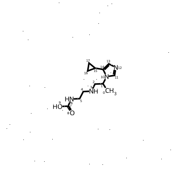 CC(CNCCNC(=O)O)n1cncc1C1CC1